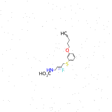 C#CCCCOc1cccc(SC/C(F)=C/CNC(=O)O)c1